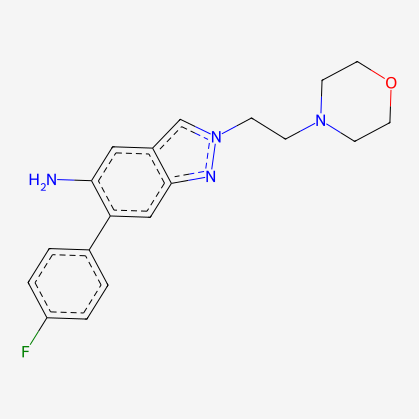 Nc1cc2cn(CCN3CCOCC3)nc2cc1-c1ccc(F)cc1